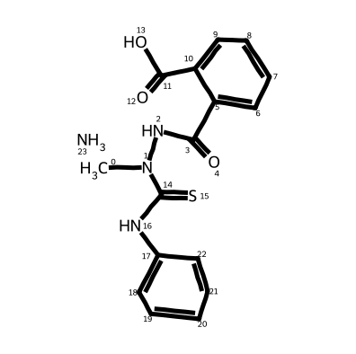 CN(NC(=O)c1ccccc1C(=O)O)C(=S)Nc1ccccc1.N